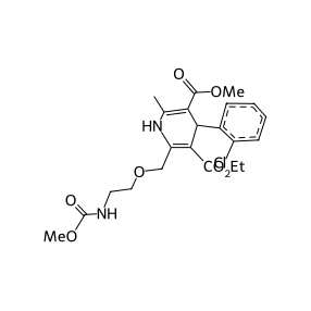 CCOC(=O)C1=C(COCCNC(=O)OC)NC(C)=C(C(=O)OC)C1c1ccccc1Cl